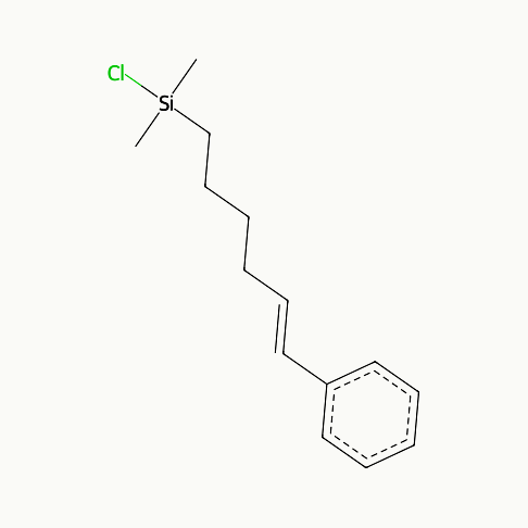 C[Si](C)(Cl)CCCCC=Cc1ccccc1